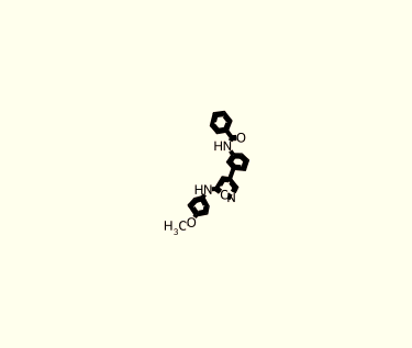 COc1ccc(Nc2cncc(-c3cccc(NC(=O)c4ccccc4)c3)c2)cc1